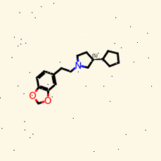 c1cc2c(cc1CCN1CC[C@@H]([C]3CCCC3)C1)OCO2